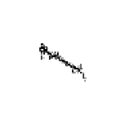 CCCC(=O)NCCOCCOCCNC(=O)CCCC1=CC12NCCC2(F)F